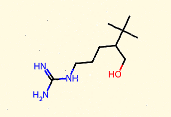 CC(C)(C)C(CO)CCCNC(=N)N